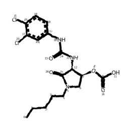 CCCCCN1C[C@H](OC(=O)O)[C@H](NC(=O)Nc2ccc(Cl)c(Cl)c2)C1=O